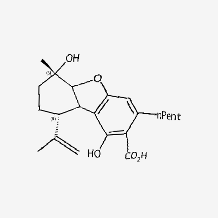 C=C(C)[C@@H]1CC[C@](C)(O)C2Oc3cc(CCCCC)c(C(=O)O)c(O)c3C21